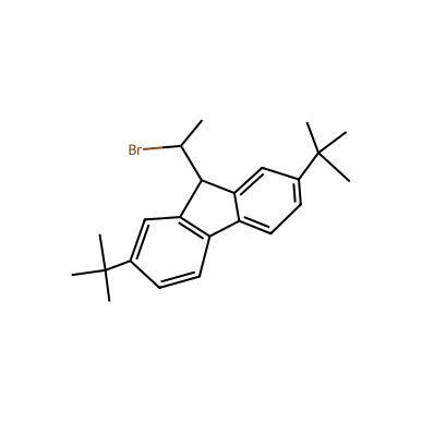 CC(Br)C1c2cc(C(C)(C)C)ccc2-c2ccc(C(C)(C)C)cc21